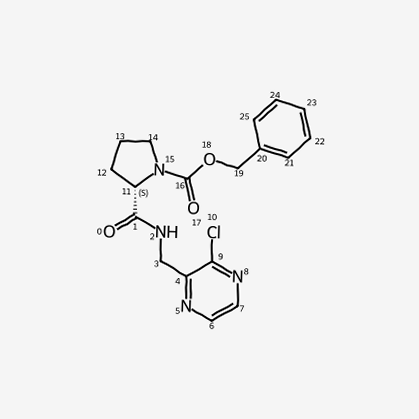 O=C(NCc1nccnc1Cl)[C@@H]1CCCN1C(=O)OCc1ccccc1